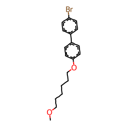 COCCCCCCOc1ccc(-c2ccc(Br)cc2)cc1